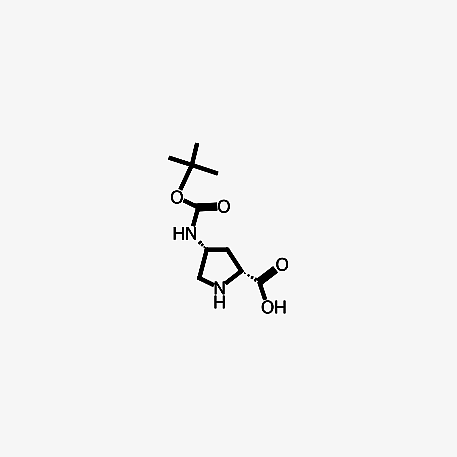 CC(C)(C)OC(=O)N[C@H]1CN[C@@H](C(=O)O)C1